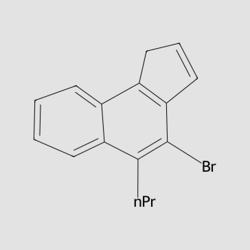 CCCc1c(Br)c2c(c3ccccc13)CC=C2